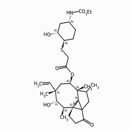 C=C[C@]1(C)C[C@@H](OC(=O)CS[C@@H]2CC[C@@H](NC(=O)OCC)C[C@H]2O)[C@]2(C)C(C)CC34C(=O)CC[C@@]3([C@@H](C)[C@@H]1O)[C@@H]42